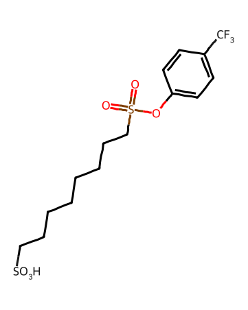 O=S(=O)(O)CCCCCCCCS(=O)(=O)Oc1ccc(C(F)(F)F)cc1